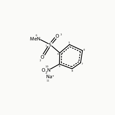 CNS(=O)(=O)c1ccccc1[N+](=O)[O-].[Na+]